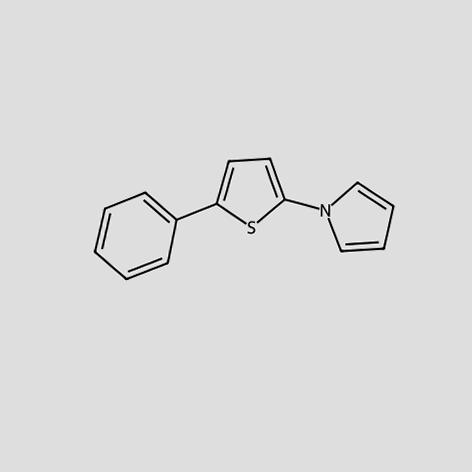 c1ccc(-c2ccc(-n3cccc3)s2)cc1